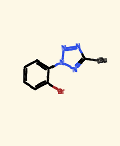 CC(C)(C)c1nnn(-c2ccccc2Br)n1